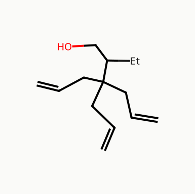 C=CCC(CC=C)(CC=C)C(CC)CO